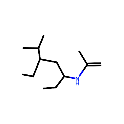 C=C(C)NC(CC)CC(CC)C(C)C